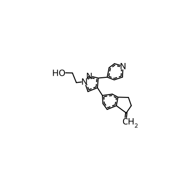 C=C1CCc2cc(-c3cn(CCO)nc3-c3ccncc3)ccc21